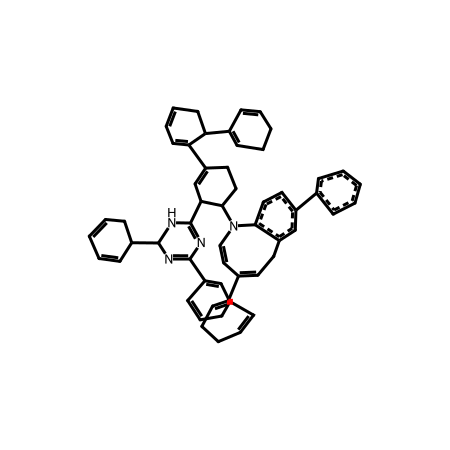 C1=CCC(C2=CCCC=C2)C(C2=CC(C3=NC(C4=CCCC=C4)=NC(C4C=CC=CC4)N3)C(N3/C=C\C(C4=CCCC=C4)=C/Cc4cc(-c5ccccc5)ccc43)CC2)=C1